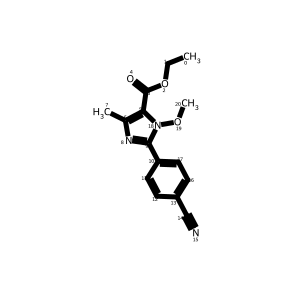 CCOC(=O)c1c(C)nc(-c2ccc(C#N)cc2)n1OC